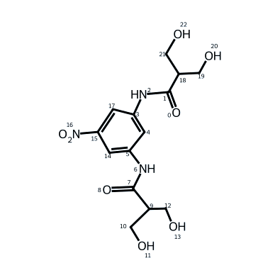 O=C(Nc1cc(NC(=O)C(CO)CO)cc([N+](=O)[O-])c1)C(CO)CO